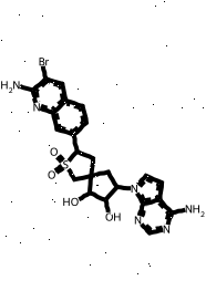 Nc1nc2cc(C3CC4(CC(n5ccc6c(N)ncnc65)C(O)C4O)CS3(=O)=O)ccc2cc1Br